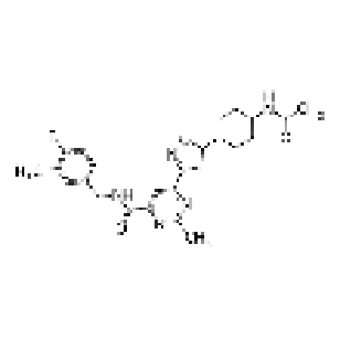 CC(=O)NC1CCC(C2CC(c3cc(C(=O)NCc4ccc(F)c(C)c4)nc(C)n3)=NO2)CC1